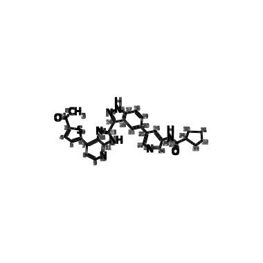 CC(=O)c1ccc(-c2ccnc3[nH]c(-c4n[nH]c5ccc(-c6cncc(NC(=O)C7CCCC7)c6)cc45)nc23)s1